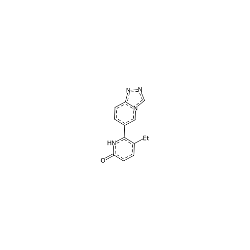 CCc1ccc(=O)[nH]c1-c1ccc2nncn2c1